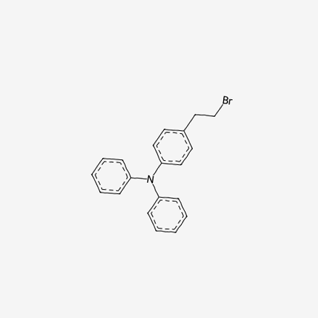 BrCCc1ccc(N(c2ccccc2)c2ccccc2)cc1